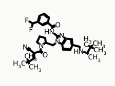 CC(NCc1ccc2c(c1)nc(NC(=O)c1cccc(C(F)F)c1)n2CC1CCCN1C(=O)C(C#N)=CC(C)(C)C)C(C)(C)C